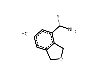 C[C@H](N)c1cccc2c1COC2.Cl